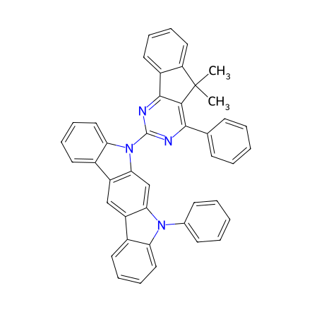 CC1(C)c2ccccc2-c2nc(-n3c4ccccc4c4cc5c6ccccc6n(-c6ccccc6)c5cc43)nc(-c3ccccc3)c21